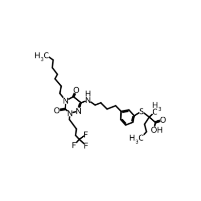 CCCCCCCn1c(=O)c(NCCCCc2cccc(SC(C)(CCC)C(=O)O)c2)nn(CCCC(F)(F)F)c1=O